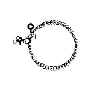 CC1=C(N2CCC3(CCCCCCCCCCCCCCCCCCCCCCCCCCCCCCCCCCCCCCCCCCCCCCCCN(Cc4ccccc4)CC3)C(O)C2)COC1=O